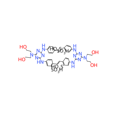 O=S(=O)(O)c1ccc(Nc2nc(Nc3ccc(/C=C/c4ccc(Nc5nc(Nc6ccc(S(=O)(=O)O)cc6)nc(N(CCO)CCO)n5)cc4S(=O)(=O)O)c(S(=O)(=O)O)c3)nc(N(CCO)CCO)n2)cc1